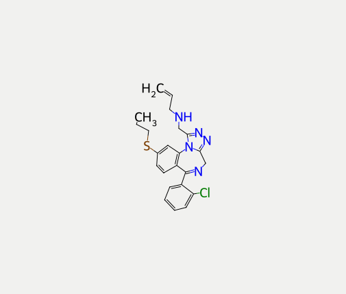 C=CCNCc1nnc2n1-c1cc(SCCC)ccc1C(c1ccccc1Cl)=NC2